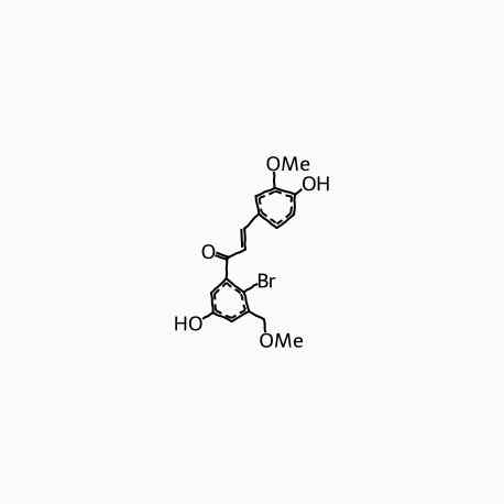 COCc1cc(O)cc(C(=O)/C=C/c2ccc(O)c(OC)c2)c1Br